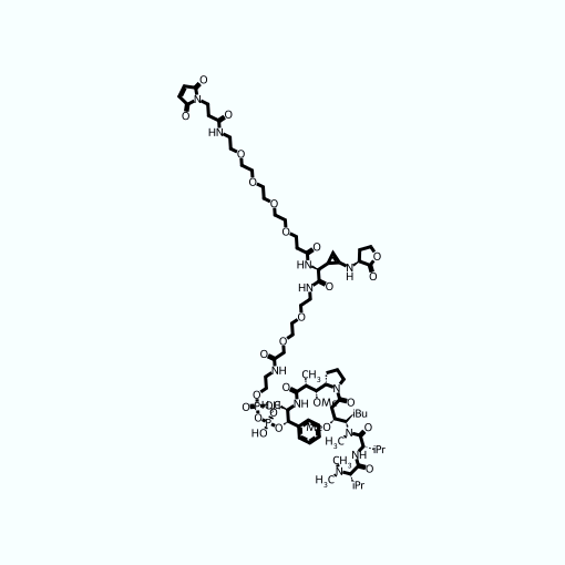 CC[C@H](C)[C@@H]([C@@H](CC(=O)N1CCC[C@H]1[C@H](OC)[C@@H](C)C(=O)N[C@H](C)[C@@H](OP(=O)(O)OP(=O)(O)OCCNC(=O)COCCOCCNC(=O)[C@@H](NC(=O)CCOCCOCCOCCOCCNC(=O)CCN1C(=O)C=CC1=O)C1C=C1N[C@H]1CCOC1=O)c1ccccc1)OC)N(C)C(=O)[C@@H](NC(=O)[C@H](C(C)C)N(C)C)C(C)C